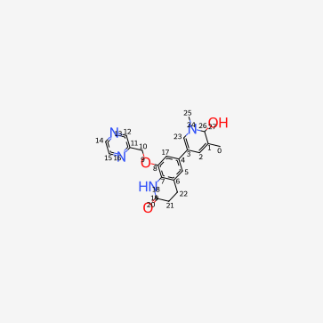 CC1=CC(c2cc3c(c(OCc4cnccn4)c2)NC(=O)CC3)=CN(C)C1O